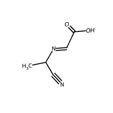 CC(C#N)N=CC(=O)O